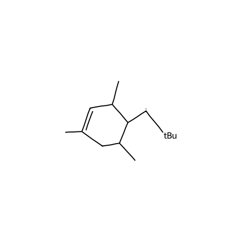 CC1=CC(C)C([CH]C(C)(C)C)C(C)C1